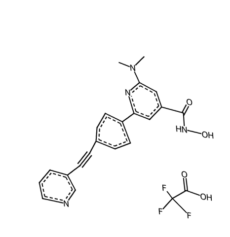 CN(C)c1cc(C(=O)NO)cc(-c2ccc(C#Cc3cccnc3)cc2)n1.O=C(O)C(F)(F)F